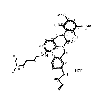 C=CC(=O)Nc1cccc(CN2C(=O)N(c3c(Cl)c(OC)cc(OC)c3Cl)Cc3cnc(NCCCCN(CC)CC)nc32)c1.Cl